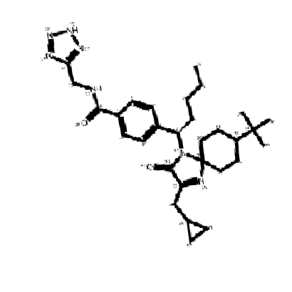 CCCC[C@H](c1ccc(C(=O)NCc2nn[nH]n2)cc1)N1C(=O)C(CC2CC2)=NC12CCC(C(C)(C)C)CC2